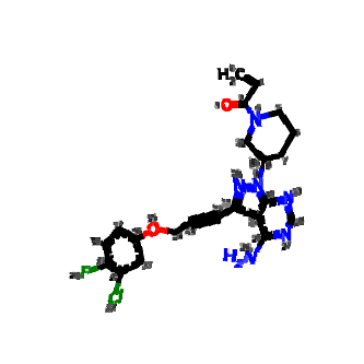 C=CC(=O)N1CCC[C@@H](n2nc(C#CCOc3ccc(F)c(Cl)c3)c3c(N)ncnc32)C1